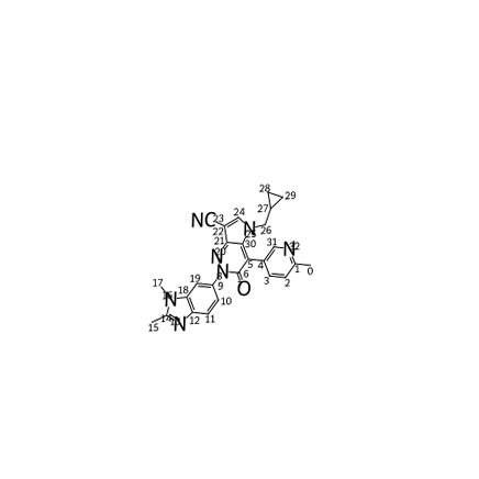 Cc1ccc(-c2c(=O)n(-c3ccc4nc(C)n(C)c4c3)nc3c(C#N)cn(CC4CC4)c23)cn1